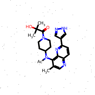 CC(=O)N(c1c(C)cnc2ccc(-c3cn[nH]c3)nc12)C1CCN(C(=O)C(C)(C)O)CC1